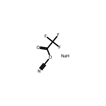 N#COC(=O)C(F)(F)F.[NaH]